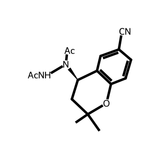 CC(=O)NN(C(C)=O)[C@@H]1CC(C)(C)Oc2ccc(C#N)cc21